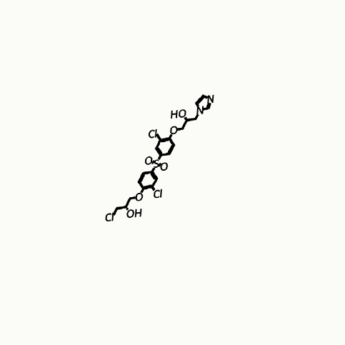 O=S(=O)(c1ccc(OCC(O)Cn2ccnc2)c(Cl)c1)c1ccc(OC[C@@H](O)CCl)c(Cl)c1